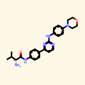 CC(C)[C@@H](N)C(=O)Nc1ccc(-c2ccnc(Nc3ccc(N4CCOCC4)cc3)n2)cc1